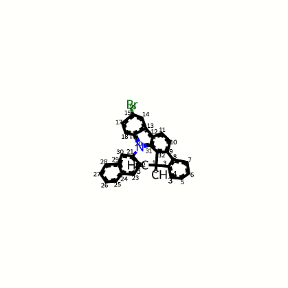 CC1(C)c2ccccc2-c2ccc3c4cc(Br)ccc4n(-c4ccc5ccccc5c4)c3c21